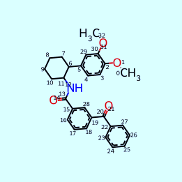 COc1ccc(C2CCCCC2NC(=O)c2cccc(C(=O)c3ccccc3)c2)cc1OC